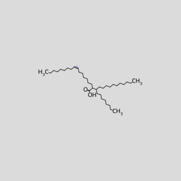 CCCCCCCC/C=C\CCCCCCC(C(=O)O)C(CCCCCCCC)CCCCCCCCCCC